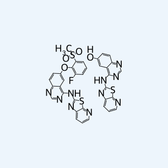 CS(=O)(=O)c1cccc(F)c1Oc1ccc2ncnc(Nc3nc4cccnc4s3)c2c1.Oc1ccc2ncnc(Nc3nc4cccnc4s3)c2c1